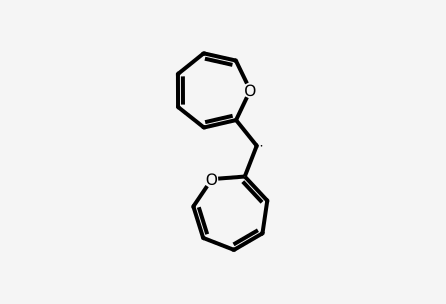 [CH](C1=CC=CC=CO1)C1=CC=CC=CO1